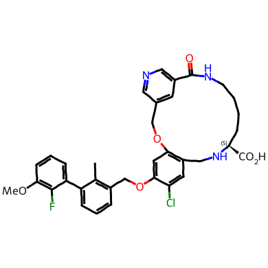 COc1cccc(-c2cccc(COc3cc4c(cc3Cl)CN[C@H](C(=O)O)CCCCNC(=O)c3cncc(c3)CO4)c2C)c1F